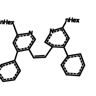 CCCCCCc1cc(-c2ccccc2)c(/C=C\c2cnc(CCCCCC)cc2-c2ccccc2)cn1